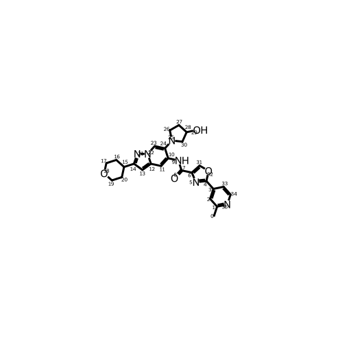 Cc1cc(-c2nc(C(=O)Nc3cc4cc(C5CCOCC5)nn4cc3N3CCC(O)C3)co2)ccn1